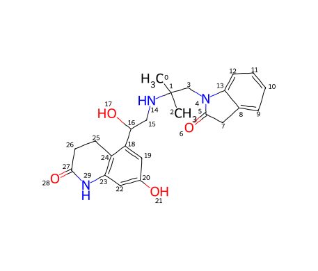 CC(C)(CN1C(=O)Cc2ccccc21)NCC(O)c1cc(O)cc2c1CCC(=O)N2